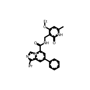 CCOc1cc(C)[nH]c(=O)c1CNC(=O)c1cc(-c2ccccc2)cc2c(C(C)C)ncn12